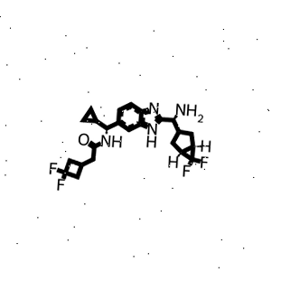 N[C@H](c1nc2ccc([C@H](NC(=O)CC3CC(F)(F)C3)C3CC3)cc2[nH]1)C1C[C@@H]2[C@H](C1)C2(F)F